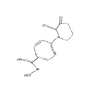 N=C(NO)c1ccc(N2CCSC(=O)C2=O)nc1